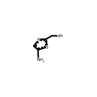 CCCCc1ncc(N)s1